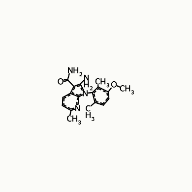 COc1ccc(C)c(-n2c(N)c(C(N)=O)c3ccc(C)nc32)c1C